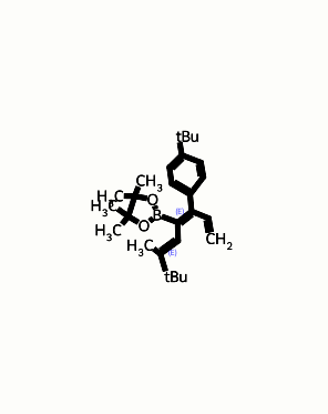 C=C/C(=C(\C=C(/C)C(C)(C)C)B1OC(C)(C)C(C)(C)O1)c1ccc(C(C)(C)C)cc1